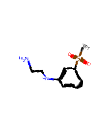 CC(C)S(=O)(=O)c1cccc(NCCN)c1